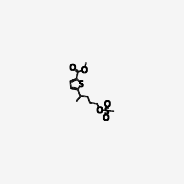 COC(=O)c1ccc(C(C)CCCOS(C)(=O)=O)s1